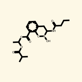 CCCC(=O)NC1Cc2cccc(C(=O)OC(C)OC(=O)C(C)C)c2OB1O